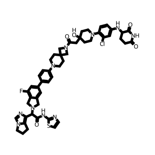 O=C1CCC(Nc2ccc(N3CCC(O)(CC(=O)N4CC5(CCN(c6ccc(-c7cc(F)c8c(c7)CN(C(C(=O)Nc7nccs7)c7ncn9c7CCC9)C8)cc6)CC5)C4)CC3)c(Cl)c2)C(=O)N1